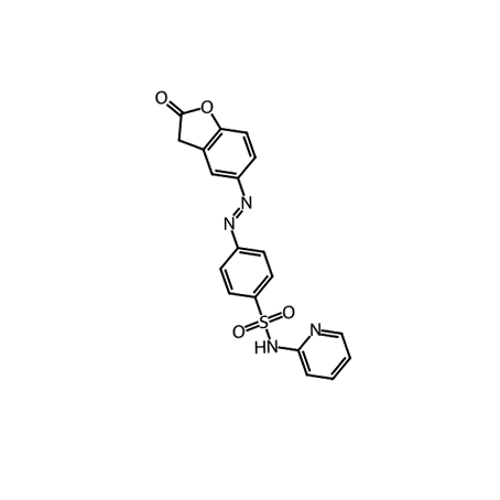 O=C1Cc2cc(N=Nc3ccc(S(=O)(=O)Nc4ccccn4)cc3)ccc2O1